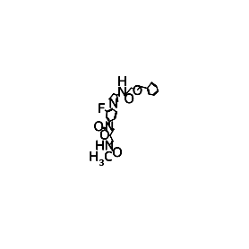 CC(=O)NCC1CN(c2ccc(N3CCC(NC(=O)COCc4ccccc4)C3)c(F)c2)C(=O)O1